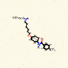 CCCCCN(C)CCCCCCOC1CCC(N(C)C(=O)c2ccc(C(F)(F)F)cc2)CC1